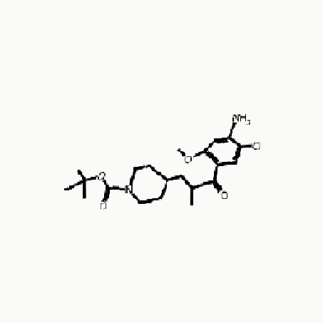 COc1cc(N)c(Cl)cc1C(=O)C(C)CC1CCN(C(=O)OC(C)(C)C)CC1